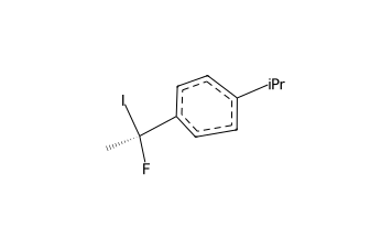 CC(C)c1ccc([C@@](C)(F)I)cc1